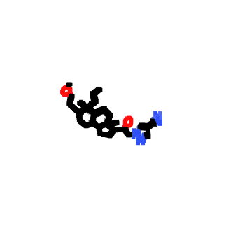 CCCC1(C)C2=CCC3(C)C(C(=O)Cn4cc(C#N)cn4)CCC3C2CCC1CCOC